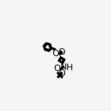 CC(C)(C)OC(=O)N[C@H]1C[C@H](C(=O)OCc2ccccc2)C1